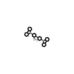 Cc1cc(-n2c3ccccc3c3ccccc32)ccc1-c1ccc(-n2c3ccccc3c3ccccc32)cc1